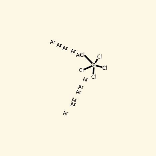 ClP(Cl)(Cl)(Cl)Cl.[Ar].[Ar].[Ar].[Ar].[Ar].[Ar].[Ar].[Ar].[Ar].[Ar].[Ar]